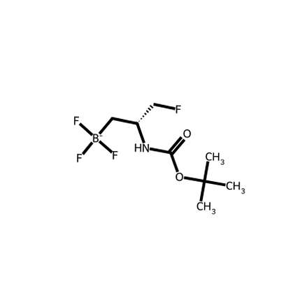 CC(C)(C)OC(=O)N[C@@H](CF)C[B-](F)(F)F